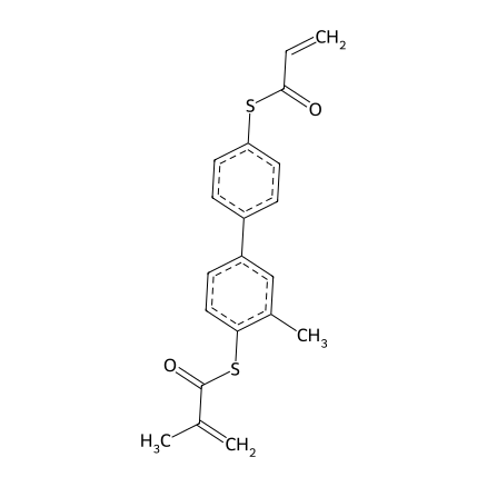 C=CC(=O)Sc1ccc(-c2ccc(SC(=O)C(=C)C)c(C)c2)cc1